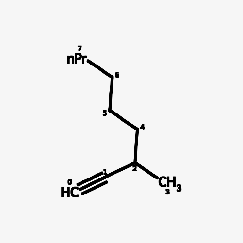 C#CC(C)CCCCC[CH2]